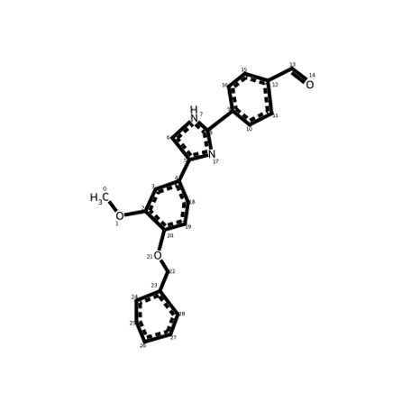 COc1cc(-c2c[nH]c(-c3ccc(C=O)cc3)n2)ccc1OCc1ccccc1